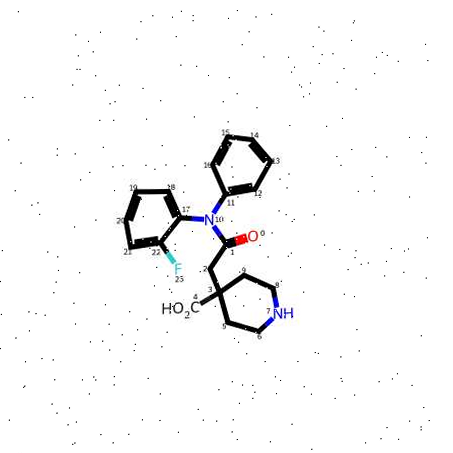 O=C(CC1(C(=O)O)CCNCC1)N(c1ccccc1)c1ccccc1F